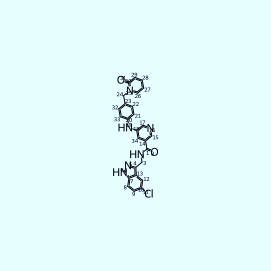 O=C(NCc1n[nH]c2ccc(Cl)cc12)c1cncc(Nc2ccc(Cn3ccccc3=O)cc2)c1